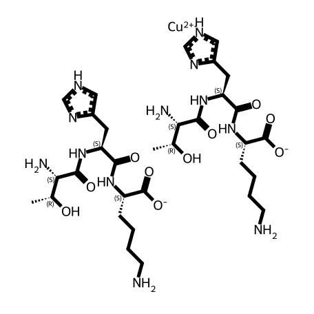 C[C@@H](O)[C@H](N)C(=O)N[C@@H](Cc1c[nH]cn1)C(=O)N[C@@H](CCCCN)C(=O)[O-].C[C@@H](O)[C@H](N)C(=O)N[C@@H](Cc1c[nH]cn1)C(=O)N[C@@H](CCCCN)C(=O)[O-].[Cu+2]